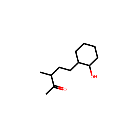 CC(=O)C(C)CCC1CCCCC1O